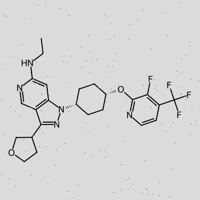 CCNc1cc2c(cn1)c(C1CCOC1)nn2[C@H]1CC[C@@H](Oc2nccc(C(F)(F)F)c2F)CC1